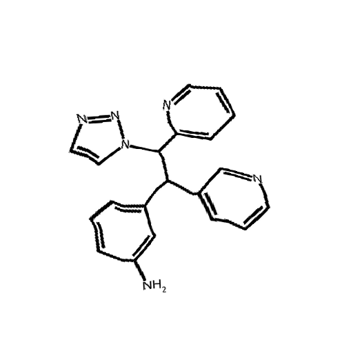 Nc1cccc(C(c2cccnc2)C(c2ccccn2)n2ccnn2)c1